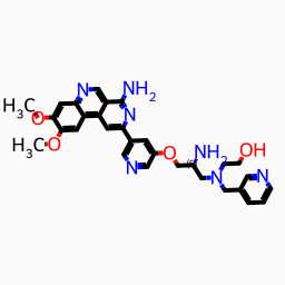 COc1cc2ncc3c(N)nc(-c4cncc(OC[C@@H](N)CN(CCO)Cc5cccnc5)c4)cc3c2cc1OC